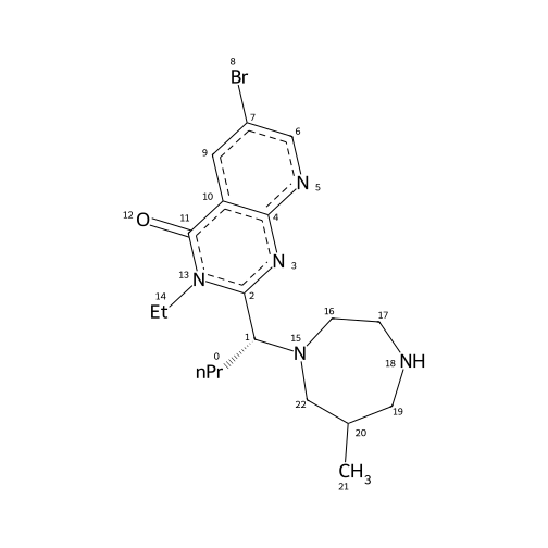 CCC[C@H](c1nc2ncc(Br)cc2c(=O)n1CC)N1CCNCC(C)C1